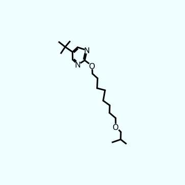 CC(C)COCCCCCCCCOc1ncc(C(C)(C)C)cn1